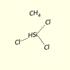 C.Cl[SiH](Cl)Cl